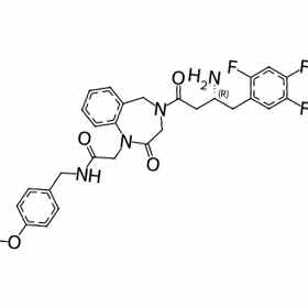 COc1ccc(CNC(=O)CN2C(=O)CN(C(=O)C[C@H](N)Cc3cc(F)c(F)cc3F)Cc3ccccc32)cc1